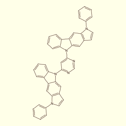 c1ccc(-n2ccc3cc4c(cc32)c2ccccc2n4-c2cc(-n3c4ccccc4c4cc5c(ccn5-c5ccccc5)cc43)ncn2)cc1